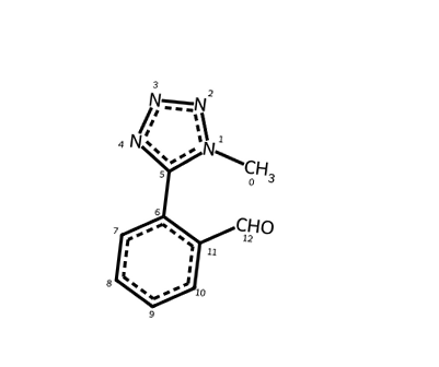 Cn1nnnc1-c1ccccc1C=O